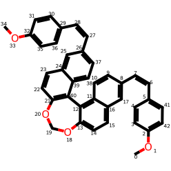 COc1ccc(/C=C\c2ccc3c4c(ccc3c2)OCOc2ccc3cc(/C=C\c5ccc(OC)cc5)ccc3c2-4)cc1